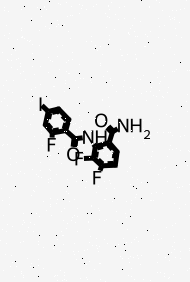 NC(=O)c1ccc(F)c(F)c1NC(=O)c1ccc(I)cc1F